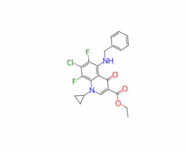 CCOC(=O)c1cn(C2CC2)c2c(F)c(Cl)c(F)c(NCc3ccccc3)c2c1=O